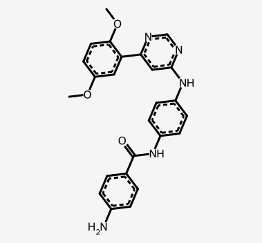 COc1ccc(OC)c(-c2cc(Nc3ccc(NC(=O)c4ccc(N)cc4)cc3)ncn2)c1